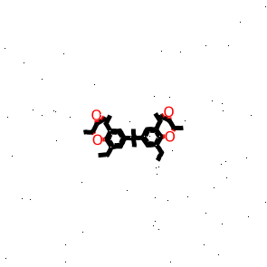 CCc1cc(C(C)(C)c2cc(CC)c(OC(C)C3CO3)c(CC)c2)cc(CC)c1OC(C)C1CO1